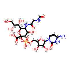 NC1C=CN(C2OC(COP(=O)(O)OC3(C(=O)O)CC(O)C(NC(=O)CNC=O)C([C@H](O)[C@H](O)CO)O3)C(O)C2O)C(=O)N1